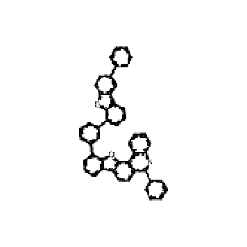 c1ccc(-c2ccc3oc4c(-c5cccc(-c6cccc7c6oc6c7ccc7c(-c8ccccc8)nc8ccccc8c76)c5)cccc4c3c2)cc1